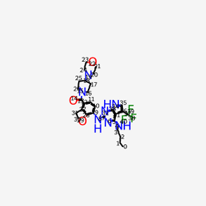 CCCCNc1nc(Nc2ccc(C(=O)N3CCC(N4CCOCC4)CC3)c3c2OCC3)nc2[nH]cc(C(F)(F)F)c12